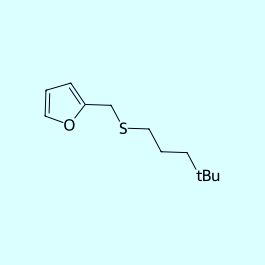 CC(C)(C)CCCSCc1ccco1